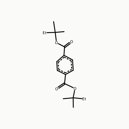 CCC(C)(C)OC(=O)c1ccc(C(=O)OC(C)(C)CC)cc1